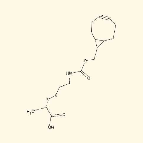 CC(SSCCNC(=O)OCC1C2CCC#CCCC21)C(=O)O